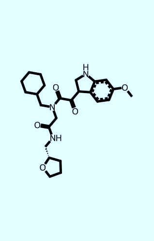 COc1ccc2c(c1)NCC2C(=O)C(=O)N(CC(=O)NC[C@@H]1CCCO1)CC1CCCCC1